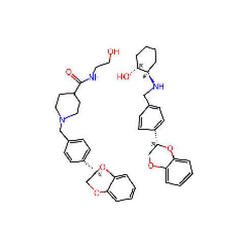 O=C(NCCO)C1CCN(Cc2ccc([C@H]3COc4ccccc4O3)cc2)CC1.O[C@@H]1CCCC[C@H]1NCc1ccc([C@H]2COc3ccccc3O2)cc1